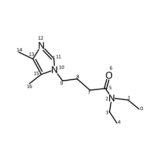 CCN(CC)C(=O)CCCn1[c]nc(C)c1C